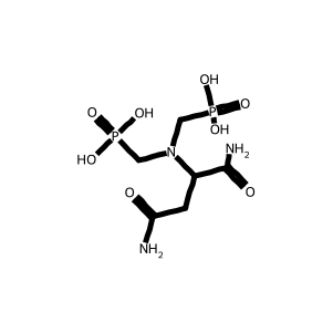 NC(=O)CC(C(N)=O)N(CP(=O)(O)O)CP(=O)(O)O